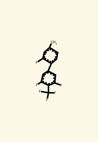 Cc1ccc(-c2cc(F)c(C(F)(F)F)c(F)c2)c(F)c1